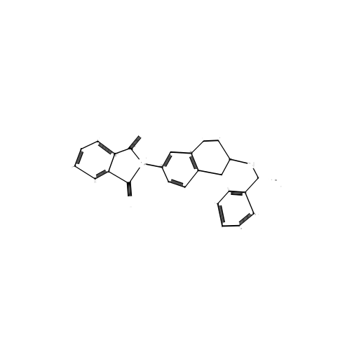 C[C@@H](NC1CCc2cc(N3C(=O)c4ccccc4C3=O)ccc2C1)c1ccccc1